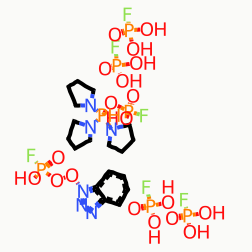 O=P(O)(F)OOn1nnc2ccccc21.O=P(O)(F)O[PH](N1CCCC1)(N1CCCC1)N1CCCC1.O=P(O)(O)F.O=P(O)(O)F.O=P(O)(O)F.O=P(O)(O)F